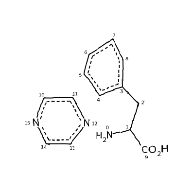 NC(Cc1ccccc1)C(=O)O.c1cnccn1